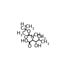 CC(C)[C@@H](O)C(C(=O)O)N(C)C(=O)OC(C)(C)C